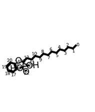 CCCCCCCCCCCCCC(Oc1ccccc1)P(=O)(O)O